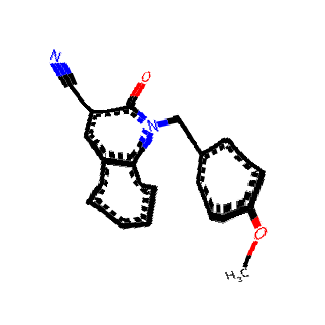 COc1ccc(Cn2c(=O)c(C#N)cc3ccccc32)cc1